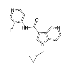 O=C(Nc1ccncc1F)c1cn(CC2CC2)c2ccncc12